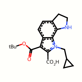 CC(C)(C)OC(=O)c1c(C(=O)O)n(CC2CC2)c2c3c(ccc12)CCN3